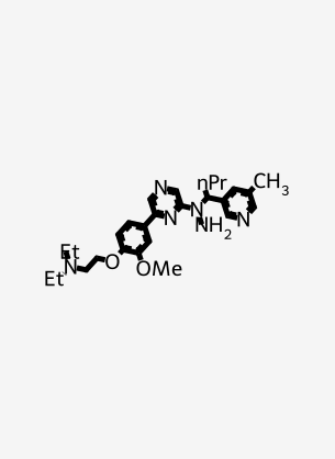 CCCC(c1cncc(C)c1)N(N)c1cncc(-c2ccc(OCCN(CC)CC)c(OC)c2)n1